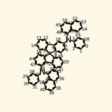 c1ccc(N(c2ccc3c(c2)-c2ccccc2C32c3ccccc3-c3c(N(c4ccccc4)c4cccc5ccccc45)cccc32)c2cccc3ccccc23)cc1